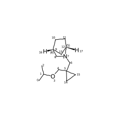 CC(C)OCC1(CN2C[C@@H]3CC[C@H]2C3)CC1